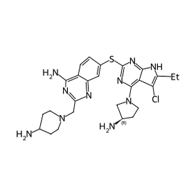 CCc1[nH]c2nc(Sc3ccc4c(N)nc(CN5CCC(N)CC5)nc4c3)nc(N3CC[C@@H](N)C3)c2c1Cl